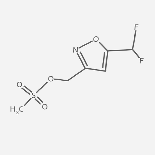 CS(=O)(=O)OCc1cc(C(F)F)on1